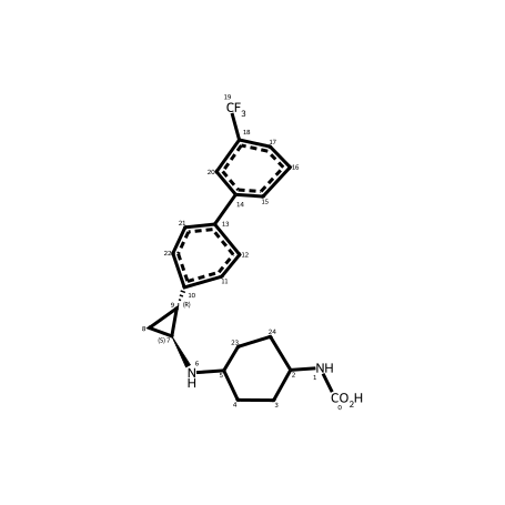 O=C(O)NC1CCC(N[C@H]2C[C@@H]2c2ccc(-c3cccc(C(F)(F)F)c3)cc2)CC1